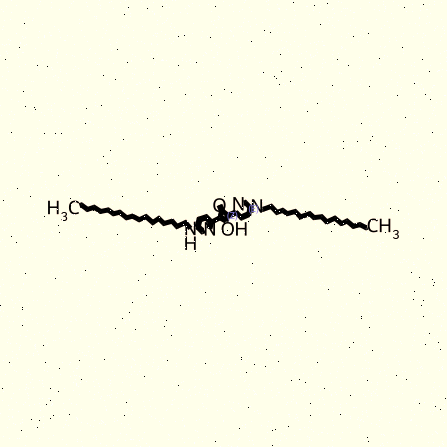 CCCCCCCCCCCCCCCCCC/N=C1C=C/C(=C2/C(=O)C(c3ccc(NCCCCCCCCCCCCCCCCCC)cn3)=C2O)N=C\1